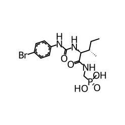 CC[C@H](C)[C@H](NC(=O)Nc1ccc(Br)cc1)C(=O)NCP(=O)(O)O